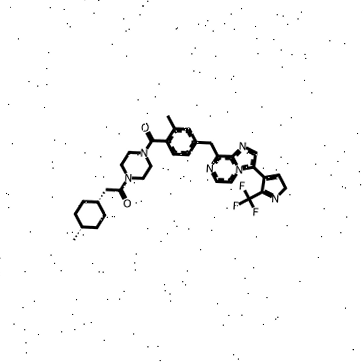 Cc1cc(Cc2nccn3c(C4=CCN=C4C(F)(F)F)cnc23)ccc1C(=O)N1CCN(C(=O)C[C@H]2CC[C@@H](C)CC2)CC1